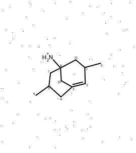 CC1C=C2CC(C)CC(N)(C2)C1